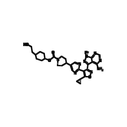 CC(C)n1nc(-c2noc(C3CC3)c2-c2ncc(C3CCN(C(=O)OC4CCC(CCO)CC4)CC3)cn2)c2c(N)ncnc21